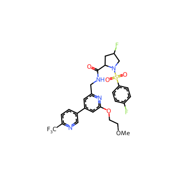 COCCOc1cc(-c2ccc(C(F)(F)F)nc2)cc(CNC(=O)C2CC(F)CN2S(=O)(=O)c2ccc(F)cc2)n1